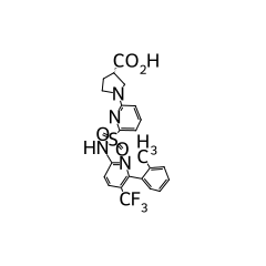 Cc1ccccc1-c1nc(NS(=O)(=O)c2cccc(N3CC[C@H](C(=O)O)C3)n2)ccc1C(F)(F)F